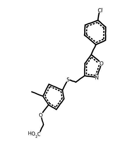 Cc1cc(SCc2cc(-c3ccc(Cl)cc3)on2)ccc1OCC(=O)O